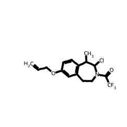 C=CCOc1ccc2c(c1)CCN(C(=O)C(F)(F)F)C(Cl)C2C